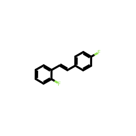 Fc1ccc(C=Cc2ccccc2F)cc1